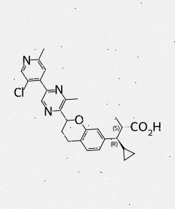 Cc1cc(-c2cnc(C3CCc4ccc([C@H](C5CC5)[C@H](C)C(=O)O)cc4O3)c(C)n2)c(Cl)cn1